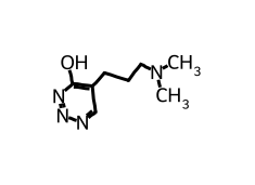 CN(C)CCCc1cnnnc1O